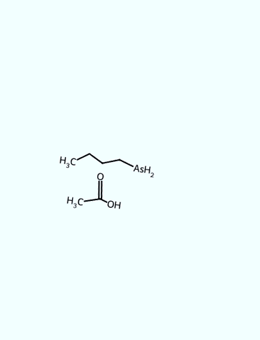 CC(=O)O.CCCC[AsH2]